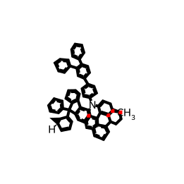 CC1C=C(c2cccc3cccc(C4CCCCC4)c23)C(N(c2ccc(-c3ccc(-c4ccccc4)c(-c4ccccc4)c3)cc2)c2cccc3c2-c2ccccc2C3(C2=CC=C[C@H]3C=C23)c2ccccc2)=CC1